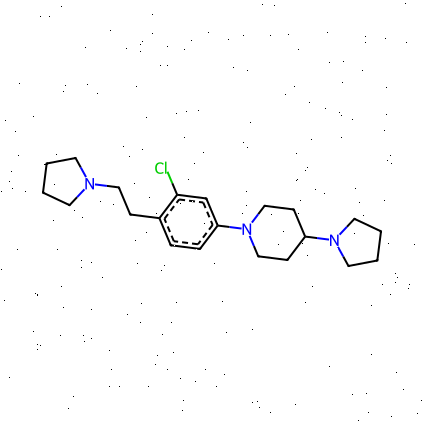 Clc1cc(N2CCC(N3CCCC3)CC2)ccc1CCN1CCCC1